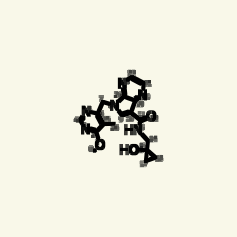 COc1ncnc(Cn2cc(C(=O)NCC3(O)CC3)c3nccnc32)c1C